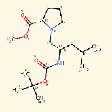 COC(=O)[C@@H]1CCCN1C[C@H](CC(C)C)NC(=O)OC(C)(C)C